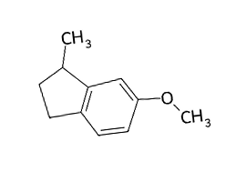 COc1ccc2c(c1)C(C)CC2